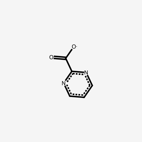 [O]C(=O)c1ncccn1